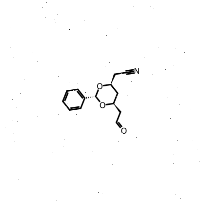 N#CC[C@H]1C[C@@H](CC=O)O[C@H](c2ccccc2)O1